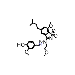 COCCN(/N=C/c1ccc(O)c(OC)c1)C1=NS(=O)(=O)c2c(OC)cc(CCC(C)C)cc21